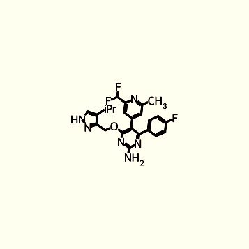 Cc1cc(-c2c(OCc3n[nH]cc3C(C)C)nc(N)nc2-c2ccc(F)cc2)cc(C(F)F)n1